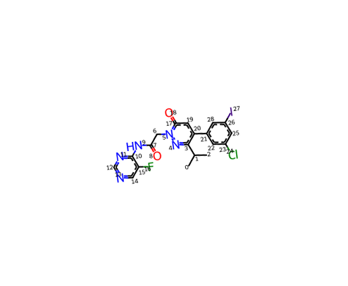 CC(C)c1nn(CC(=O)Nc2ncncc2F)c(=O)cc1-c1cc(Cl)cc(I)c1